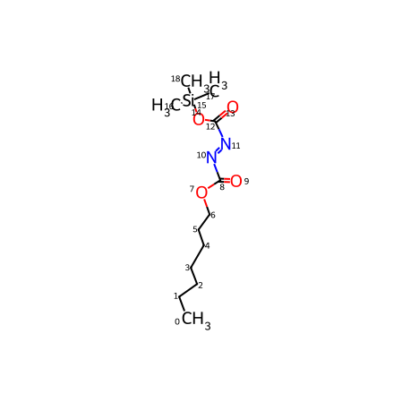 CCCCCCCOC(=O)N=NC(=O)O[Si](C)(C)C